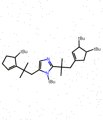 CC(C)(Cc1cnc(C(C)(C)CC2=CC(C(C)(C)C)C(C(C)(C)C)C2)n1C(C)(C)C)C1=CCCC1C(C)(C)C